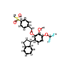 COc1c(OC(F)F)ccc(C2CCc3ccccc32)c1OCc1ccc(S(C)(=O)=O)cc1